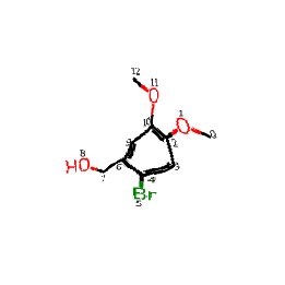 COc1cc(Br)c(CO)cc1OC